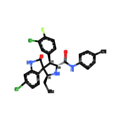 CC(C)(C)C[C@@H]1N[C@@H](C(=O)Nc2ccc(C#N)cc2)[C@H](c2ccc(F)c(Cl)c2)C12C(=O)Nc1cc(Cl)ccc12